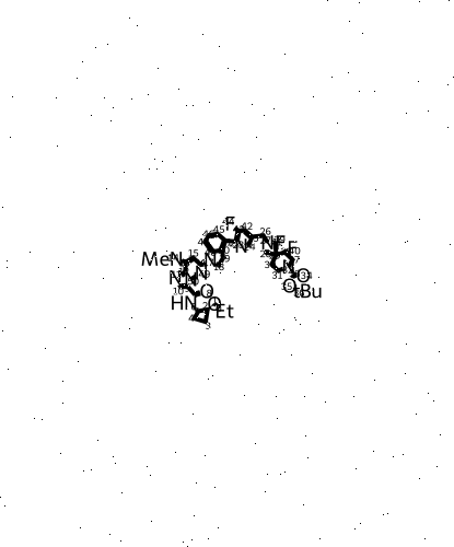 CCO[C@@H]1CC[C@H]1NC(=O)c1cnc2c(NC)cc(N3CCc4c(-c5ncc(CN6CC7(CCN(C(=O)OC(C)(C)C)CC7(F)F)C6)cc5F)cccc43)nn12